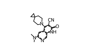 CN(C)c1cc2c(N3CCC4(CC3)CC4)c(C#N)c(=O)[nH]c2cn1